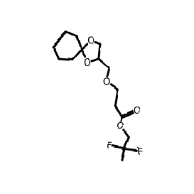 CC(F)(F)COC(=O)CCOCC1COC2(CCCCC2)O1